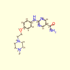 CN1CCN(CCOc2ccc(Nc3ncc(C(N)=O)cn3)cc2)CC1